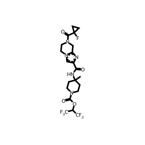 CC1(NC(=O)c2cn3c(n2)CN(C(=O)C2(F)CC2)CC3)CCN(C(=O)OC(C(F)(F)F)C(F)(F)F)CC1